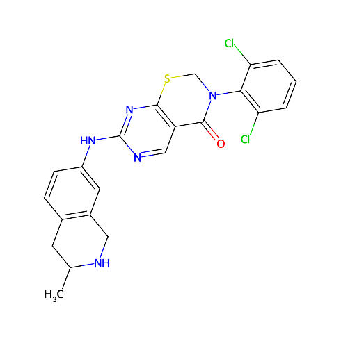 CC1Cc2ccc(Nc3ncc4c(n3)SCN(c3c(Cl)cccc3Cl)C4=O)cc2CN1